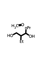 C=O.CCCC(O)C(CC)CO